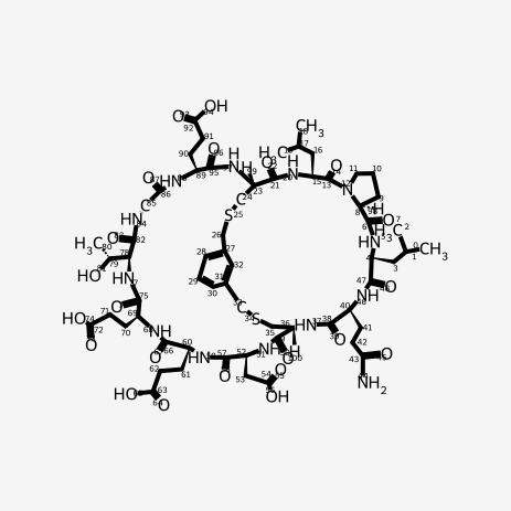 CC(C)C[C@@H]1NC(=O)[C@@H]2CCCN2C(=O)[C@H](CC(C)C)NC(=O)[C@@H]2CSCc3cccc(c3)CSC[C@H](NC(=O)[C@H](CCC(N)=O)NC1=O)C(=O)N[C@@H](CC(=O)O)C(=O)N[C@@H](CCC(=O)O)C(=O)N[C@@H](CCC(=O)O)C(=O)N[C@@H]([C@@H](C)O)C(=O)NCC(=O)N[C@@H](CCC(=O)O)C(=O)N2